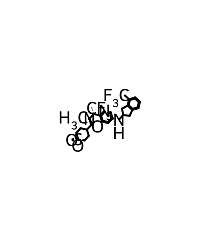 CN(C(=O)C1CCS(=O)(=O)CC1)[C@@H](c1ccc(NC2Cc3cccc(C(F)(F)F)c3C2)cn1)C(F)(F)F